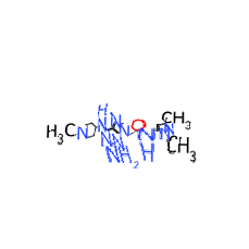 CCN1CCC(Nc2nc(N)nc3c2ncn3CC(=O)Nc2cc(C)nn2CC)CC1